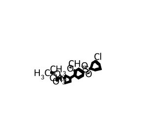 COc1cc(S(=O)(=O)C2C=CC=C(Cl)C2)ccc1C1CCN(C(=O)OC(C)(C)C)C1